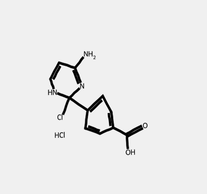 Cl.NC1=NC(Cl)(c2ccc(C(=O)O)cc2)NC=C1